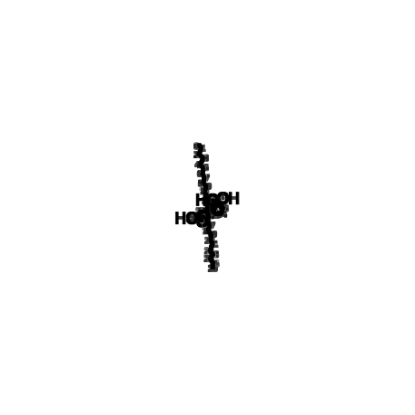 CCCCCCCCCCCCCCC(CCCCCCCCCCCC)CC(=O)O.Oc1ccccc1O